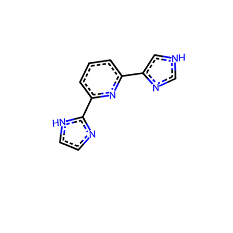 c1cc(-c2c[nH]cn2)nc(-c2ncc[nH]2)c1